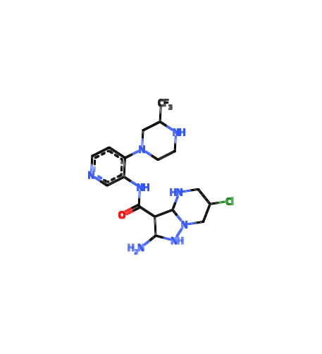 NC1NN2CC(Cl)CNC2C1C(=O)Nc1cnccc1N1CCNC(C(F)(F)F)C1